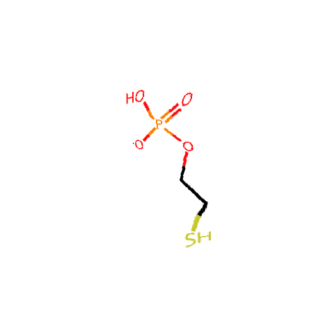 [O]P(=O)(O)OCCS